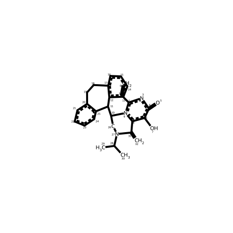 C=Cc1nc(=O)c(O)c2n1C(C1c3ccccc3CCc3ccccc31)CN(C(C)C)C2=C